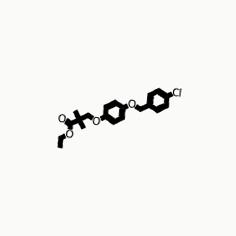 CCOC(=O)C(C)(C)COc1ccc(OCc2ccc(Cl)cc2)cc1